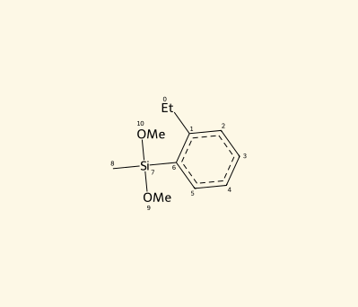 CCc1ccccc1[Si](C)(OC)OC